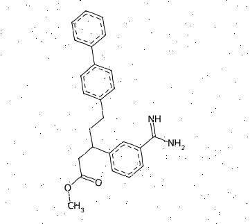 COC(=O)CC(CCc1ccc(-c2ccccc2)cc1)c1cccc(C(=N)N)c1